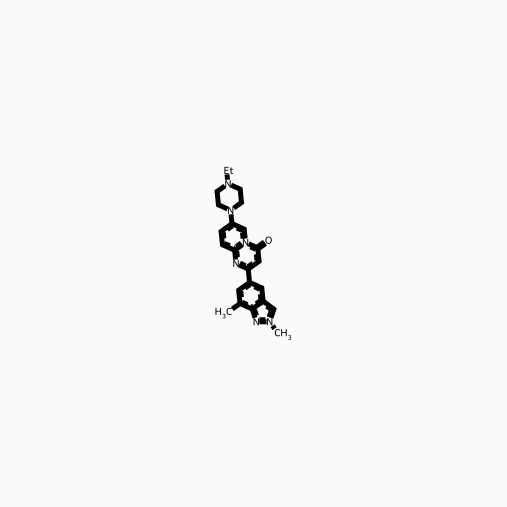 CCN1CCN(c2ccc3nc(-c4cc(C)c5nn(C)cc5c4)cc(=O)n3c2)CC1